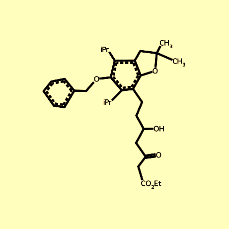 CCOC(=O)CC(=O)CC(O)CCc1c2c(c(C(C)C)c(OCc3ccccc3)c1C(C)C)CC(C)(C)O2